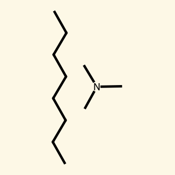 CCCCCCCC.CN(C)C